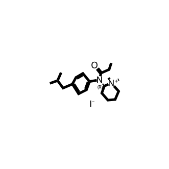 CCC(=O)N(c1ccc(CC(C)C)cc1)[C@H]1CCCC[N+]1(C)C.[I-]